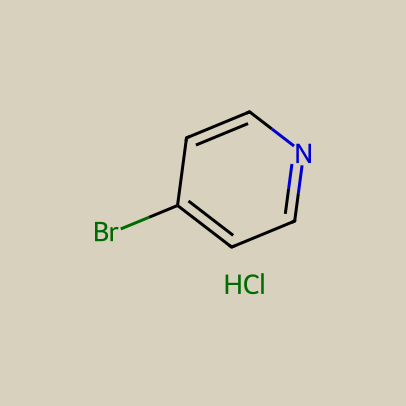 Brc1ccncc1.Cl